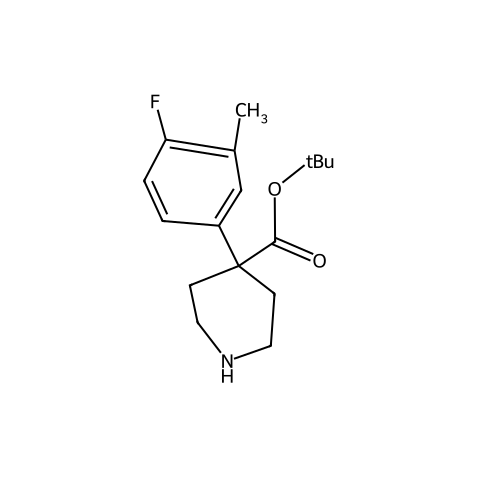 Cc1cc(C2(C(=O)OC(C)(C)C)CCNCC2)ccc1F